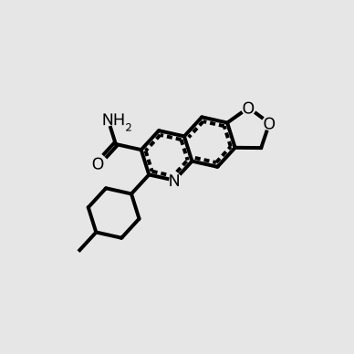 CC1CCC(c2nc3cc4c(cc3cc2C(N)=O)OOC4)CC1